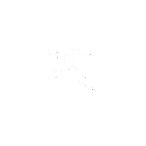 COc1ccc(C[C@H]2[C@H](OC(=O)NCCN(Cc3c[nH]cn3)C(=O)C3CCC3)[C@H](OC(=O)OC(C)(C)C)CN2C(=O)OC(C)(C)C)cc1